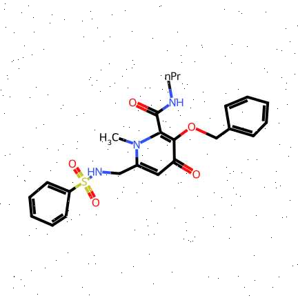 CCCNC(=O)c1c(OCc2ccccc2)c(=O)cc(CNS(=O)(=O)c2ccccc2)n1C